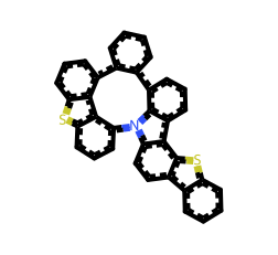 c1ccc2c(c1)sc1c2ccc2c1c1cccc3c4ccccc4c4cccc5sc6cccc(c6c54)n2c31